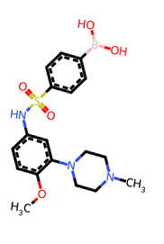 COc1ccc(NS(=O)(=O)c2ccc(B(O)O)cc2)cc1N1CCN(C)CC1